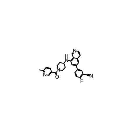 Cc1ccc(C(=O)N2CCC(Nc3cc(-c4ccc(F)c(C#N)c4)cc4ccncc34)CC2)cn1